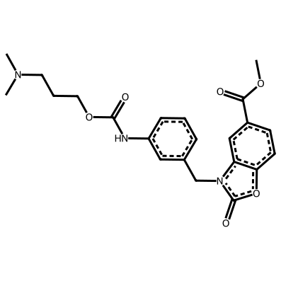 COC(=O)c1ccc2oc(=O)n(Cc3cccc(NC(=O)OCCCN(C)C)c3)c2c1